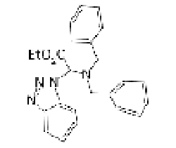 CCOC(=O)C(N(Cc1ccccc1)Cc1ccccc1)n1nnc2ccccc21